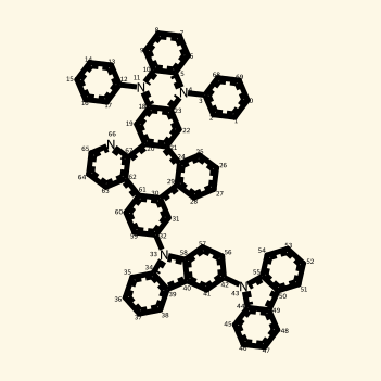 c1ccc(-n2c3ccccc3n(-c3ccccc3)c3cc4c(cc32)c2ccccc2c2cc(-n3c5ccccc5c5cc(-n6c7ccccc7c7ccccc76)ccc53)ccc2c2cccnc24)cc1